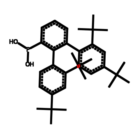 CC(C)(C)c1ccc(-c2cccc(P(O)O)c2-c2ccc(C(C)(C)C)cc2C(C)(C)C)c(C(C)(C)C)c1